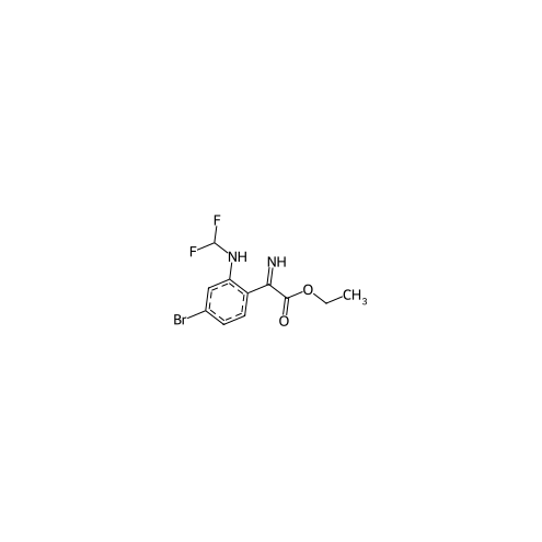 CCOC(=O)C(=N)c1ccc(Br)cc1NC(F)F